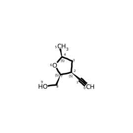 C#C[C@@H]1C[C@H](C)O[C@@H]1CO